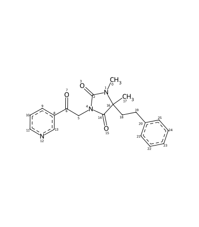 CN1C(=O)N(CC(=O)c2cccnc2)C(=O)C1(C)CCc1ccccc1